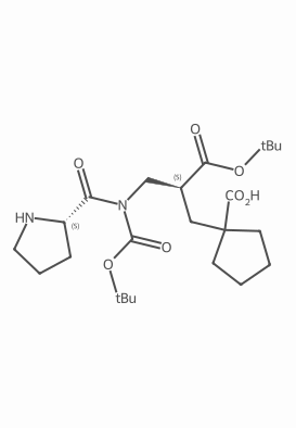 CC(C)(C)OC(=O)[C@H](CN(C(=O)OC(C)(C)C)C(=O)[C@@H]1CCCN1)CC1(C(=O)O)CCCC1